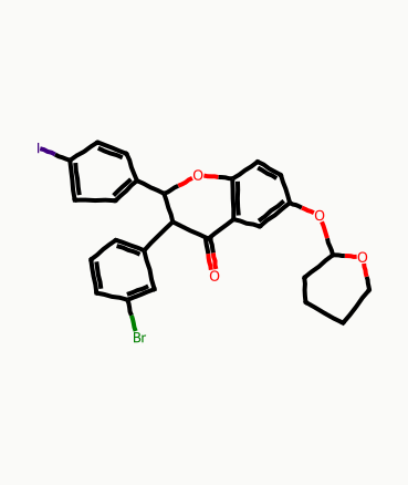 O=C1c2cc(OC3CCCCO3)ccc2OC(c2ccc(I)cc2)C1c1cccc(Br)c1